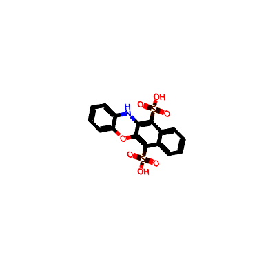 O=S(=O)(O)c1c2c(c(S(=O)(=O)O)c3ccccc13)Oc1ccccc1N2